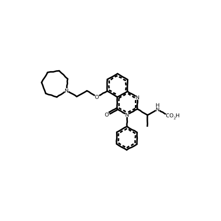 CC(NC(=O)O)c1nc2cccc(OCCN3CCCCCC3)c2c(=O)n1-c1ccccc1